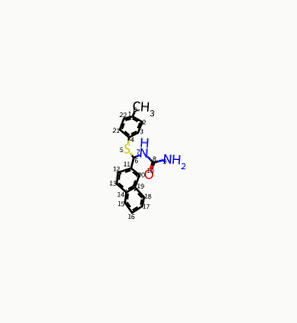 Cc1ccc(SC(NC(N)=O)c2ccc3ccccc3c2)cc1